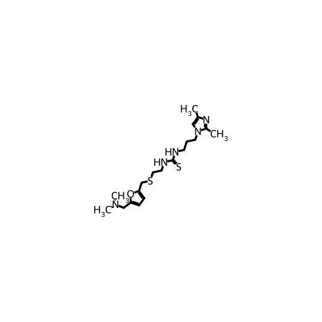 Cc1cn(CCCNC(=S)NCCSCc2ccc(CN(C)C)o2)c(C)n1